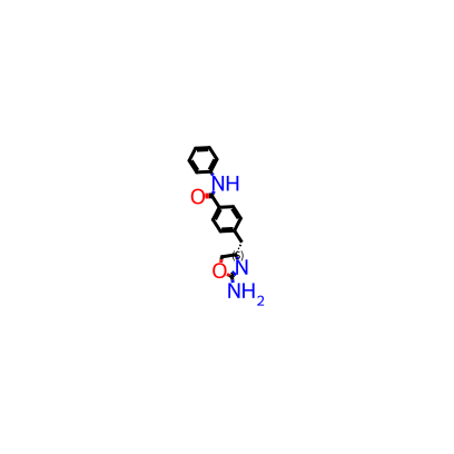 NC1=N[C@@H](Cc2ccc(C(=O)Nc3ccccc3)cc2)CO1